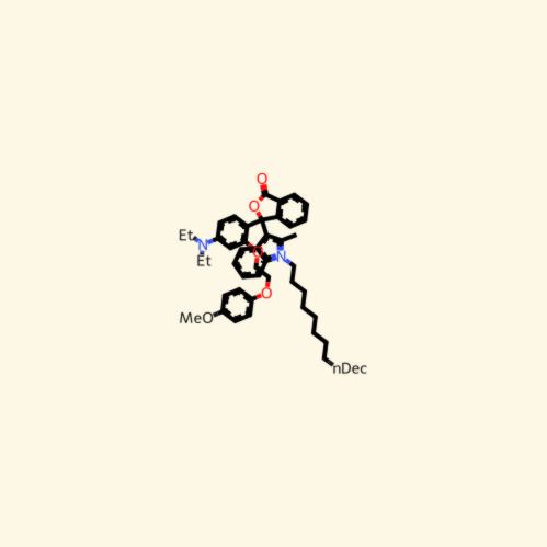 CCCCCCCCCCCCCCCCCCn1c(C)c(C2(c3ccc(N(CC)CC)cc3OCCOc3ccc(OC)cc3)OC(=O)c3ccccc32)c2ccccc21